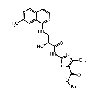 Cc1ccc2ccnc(NC[C@H](O)C(=O)Nc3nc(C)c(C(=O)OC(C)(C)C)s3)c2c1